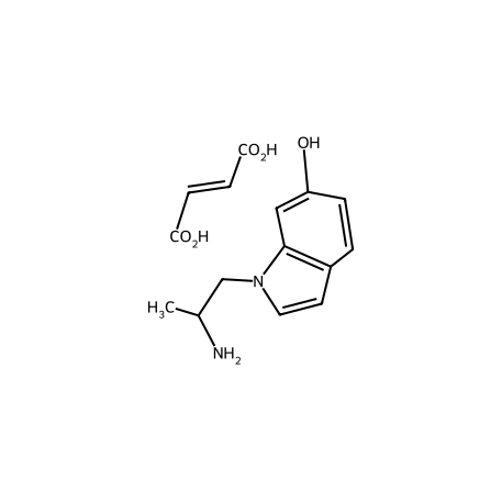 CC(N)Cn1ccc2ccc(O)cc21.O=C(O)C=CC(=O)O